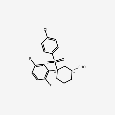 O=C[C@@H]1CCC[C@@](c2cc(F)ccc2F)(S(=O)(=O)c2ccc(Cl)cc2)C1